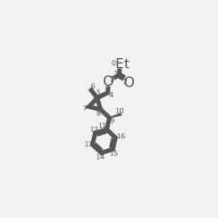 CCC(=O)OCC1(C)CC1[C@@H](C)c1ccccc1